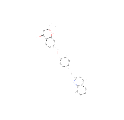 O=C(O)c1cc(=O)c2ccc(COc3ccc(OCc4ccc5ccccc5n4)cc3)cc2o1